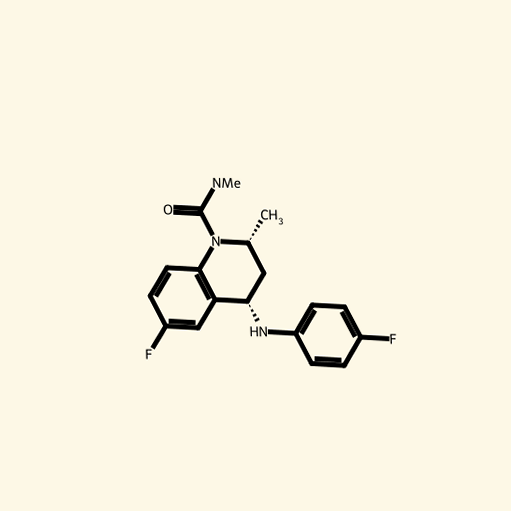 CNC(=O)N1c2ccc(F)cc2[C@@H](Nc2ccc(F)cc2)C[C@H]1C